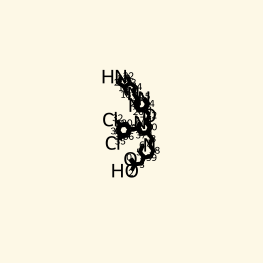 O=C(O)CC1CCN(Cc2cc(Oc3cnc(N4CC5CNCC5C4)nc3)nc(-c3cc(Cl)cc(Cl)c3)c2)CC1